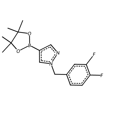 CC1(C)OB(c2cnn(Cc3ccc(F)c(F)c3)c2)OC1(C)C